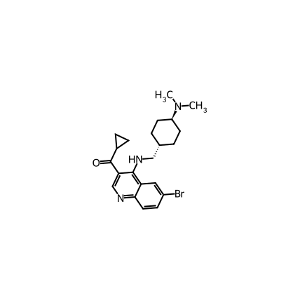 CN(C)[C@H]1CC[C@H](CNc2c(C(=O)C3CC3)cnc3ccc(Br)cc23)CC1